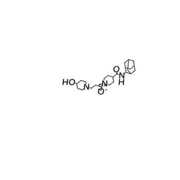 O=C(NC1C2CC3CC(C2)CC1C3)C1CCN([S+]([O-])CCN2CCC(O)CC2)CC1